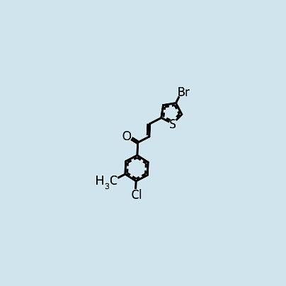 Cc1cc(C(=O)/C=C/c2cc(Br)cs2)ccc1Cl